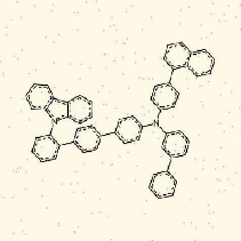 c1ccc(-c2cccc(N(c3ccc(-c4ccc(-c5ccccc5-n5c6ccccc6c6ccccc65)cc4)cc3)c3ccc(-c4cccc5ccccc45)cc3)c2)cc1